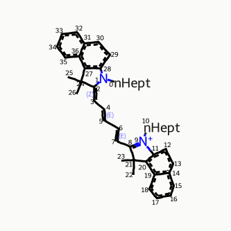 CCCCCCCN1\C(=C/C=C/C=C/C2=[N+](CCCCCCC)c3ccc4ccccc4c3C2(C)C)C(C)(C)c2c1ccc1ccccc21